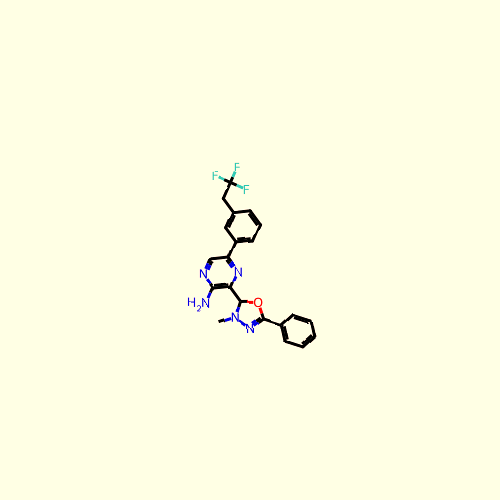 CN1N=C(c2ccccc2)OC1c1nc(-c2cccc(CC(F)(F)F)c2)cnc1N